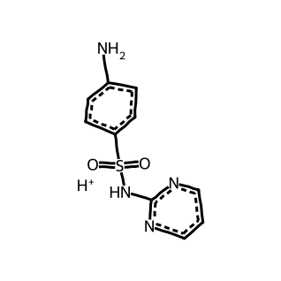 Nc1ccc(S(=O)(=O)Nc2ncccn2)cc1.[H+]